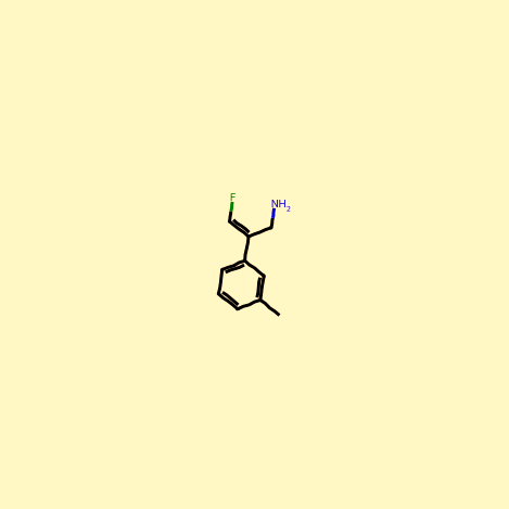 Cc1cccc(C(=CF)CN)c1